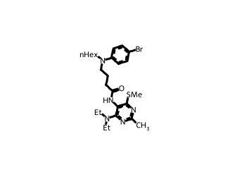 CCCCCCN(CCCC(=O)Nc1c(SC)nc(C)nc1N(CC)CC)c1ccc(Br)cc1